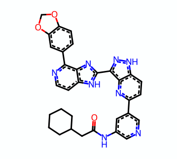 O=C(CC1CCCCC1)Nc1cncc(-c2ccc3[nH]nc(-c4nc5c(-c6ccc7c(c6)OCO7)nccc5[nH]4)c3n2)c1